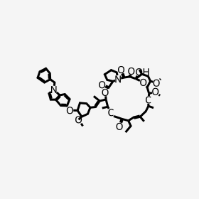 CCC1/C=C(\C)CC(C)CC(OC)C2OC(O)(C(=O)C(=O)N3CCCCC3C(=O)OC(C(C)=CC3CCC(Oc4ccc5c(ccn5Cc5ccccc5)c4)C(OC)C3)C(C)CCC1=O)C(C)CC2OC